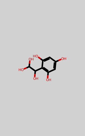 Oc1cc(O)c(C(O)C(O)O)c(O)c1